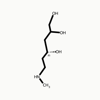 CNCC[C@@H](O)CC(O)CO